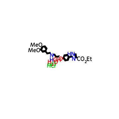 CCOC(=O)c1c[nH]c(-c2ccc(OCC(O)CNCCc3ccc(OC)c(OC)c3)cc2)n1.Cl.Cl.O